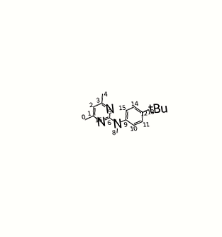 Cc1cc(C)nc(N(C)c2ccc(C(C)(C)C)cc2)n1